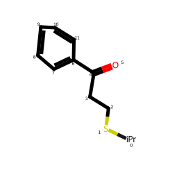 CC(C)SCCC(=O)c1ccccc1